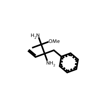 C=CC(N)(Cc1ccccc1)C(C)(N)OC